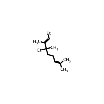 CC/C=C(\C)C(C)(CC)CCC=C(C)C